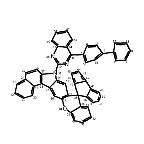 c1ccc(-c2ccc(-c3nc(-n4c5cc6c(cc5c5c7ccccc7ccc54)Oc4ccccc4C64c5ccccc5-c5ccccc54)nc4ccccc34)cc2)cc1